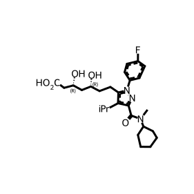 CC(C)c1c(C(=O)N(C)C2CCCCC2)nn(-c2ccc(F)cc2)c1CC[C@@H](O)C[C@@H](O)CC(=O)O